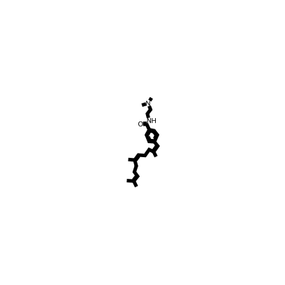 CC(C)=CCCC(C)=CCCC(C)=Cc1ccc(C(=O)NCCN(C)C)cc1